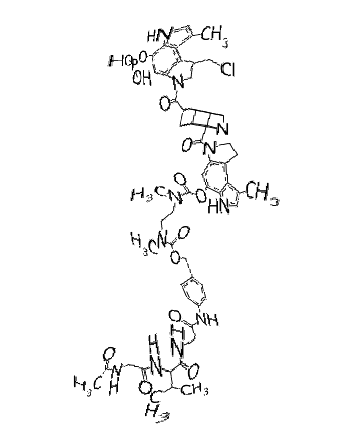 CC(=O)NCC(=O)NC(C(=O)NCC(=O)Nc1ccc(COC(=O)N(C)CCN(C)C(=O)Oc2cc3c(c4c(C)c[nH]c24)CCN3C(=O)C23C4C5C2C2N3C4C52C(=O)N2CC(CCl)c3c2cc(OP(O)O)c2[nH]cc(C)c32)cc1)C(C)C